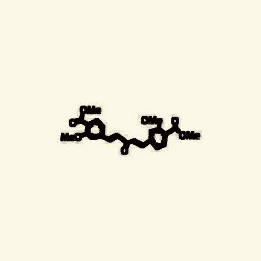 COC(=O)c1ccc(/C=C/C(=O)/C=C/c2ccc(C(=O)OC)c(OC)c2)cc1OC